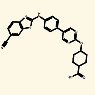 N#Cc1ccc2nc(Nc3ccc(-c4cnc(OC5CCC(C(=O)O)CC5)nc4)cc3)sc2c1